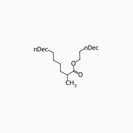 CCCCCCCCCCCCCCC(C)C(=O)OCCCCCCCCCCCC